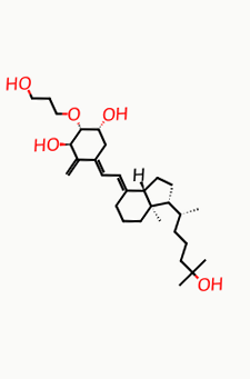 C=C1/C(=C/C=C2\CCC[C@]3(C)[C@@H]([C@H](C)CCCC(C)(C)O)CC[C@@H]23)C[C@@H](O)[C@@H](OCCCO)[C@@H]1O